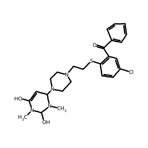 CN1C(O)=CC(N2CCN(CCSc3ccc(Cl)cc3C(=O)c3ccccc3)CC2)N(C)C1O